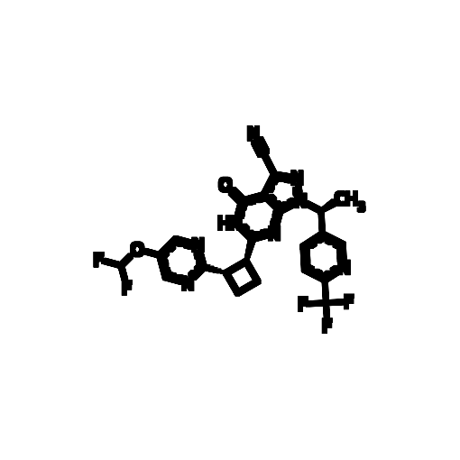 C[C@@H](c1ccc(C(F)(F)F)nc1)n1nc(C#N)c2c(=O)[nH]c([C@H]3CC[C@@H]3c3ncc(OC(F)F)cn3)nc21